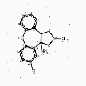 CN1CC2c3ccccc3Oc3ccc(Cl)cc3C2(N)C1